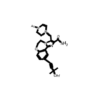 CC(=O)N1CCN(Cc2c(C(N)=O)nc3n2CCOc2ccc(C#CC(C)(C)O)cc2-3)CC1